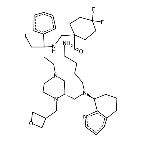 NCCCCN(C[C@H]1CN(CC[C@@](CI)(NCC2(C=O)CCC(F)(F)CC2)c2ccccc2)CCN1CC1COC1)[C@H]1CCCc2cccnc21